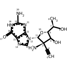 C#C[C@@]1(N)C(O)[C@@H]([C@@H](C)O)O[C@H]1n1cnc2c(=O)[nH]c(N)nc21